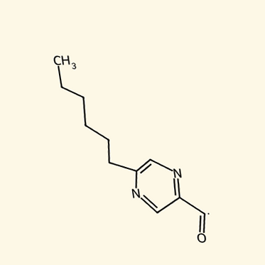 CCCCCCc1cnc([C]=O)cn1